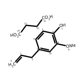 C=CCc1ccc(O)c(OC)c1.O=C(O)CCC(=O)O